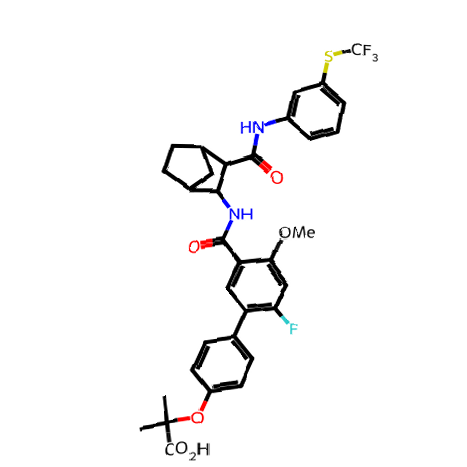 COc1cc(F)c(-c2ccc(OC(C)(C)C(=O)O)cc2)cc1C(=O)NC1C2CCC(C2)C1C(=O)Nc1cccc(SC(F)(F)F)c1